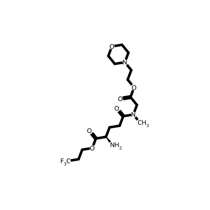 CN(CC(=O)OCCN1CCOCC1)C(=O)CC[C@@H](N)C(=O)OCCC(F)(F)F